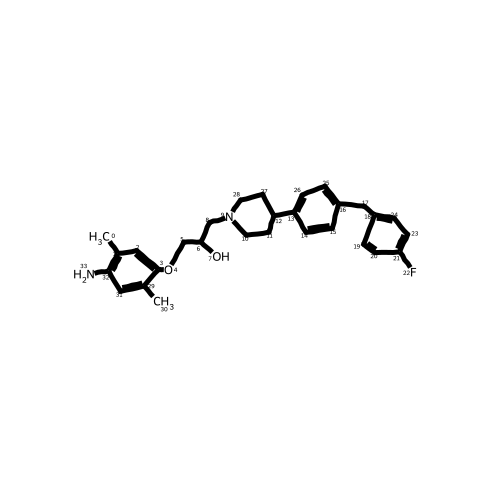 Cc1cc(OCC(O)CN2CCC(c3ccc(Cc4ccc(F)cc4)cc3)CC2)c(C)cc1N